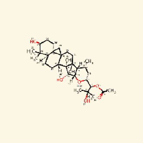 CC(=O)O[C@H]([C@H]1C[C@@H](C)[C@@H]2[C@H](O1)[C@H](O)[C@@]1(C)[C@@H]3CC[C@H]4C(C)(C)[C@@H](O)CC[C@@]45C[C@@]35CC[C@]21C)C(C)(C)O